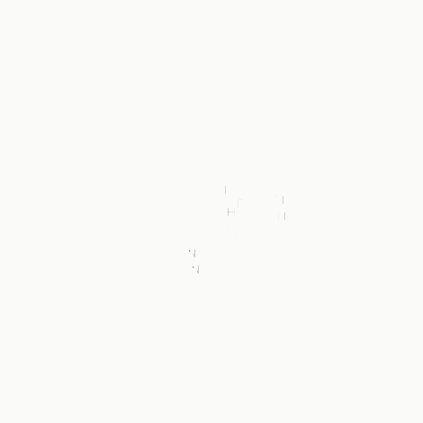 CC(C)(C(c1ccccc1)c1ccc2c(cnn2-c2ccc(F)cc2)c1)C(O)(c1ccccc1)C(F)(F)F